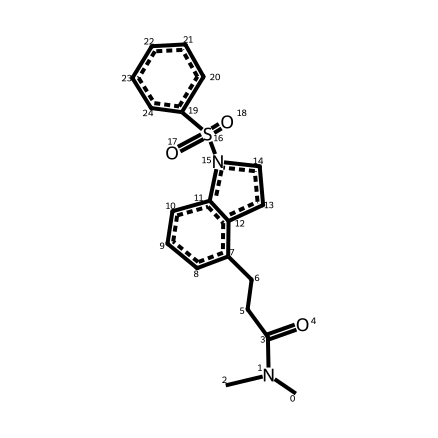 CN(C)C(=O)CCc1cccc2c1ccn2S(=O)(=O)c1ccccc1